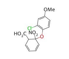 COc1ccc(OC2([N+](=O)[O-])C=CC=CC2C(=O)O)c(Cl)c1